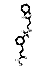 O=C(/C=C/c1cccc(S(=O)(=O)NCCc2nc3ccccc3[nH]2)c1)NO